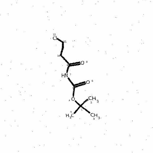 CC(C)(C)OC(=O)NC(=O)CCCl